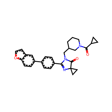 O=C(C1CC1)N1CCCC(CN2C(=O)C3(CC3)N=C2c2ccc(-c3ccc4occc4c3)cc2)C1